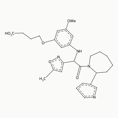 COc1cc(NC(C(=O)N2CCCCCC2c2cccnc2)c2cc(C)on2)cc(OCCCC(=O)O)c1